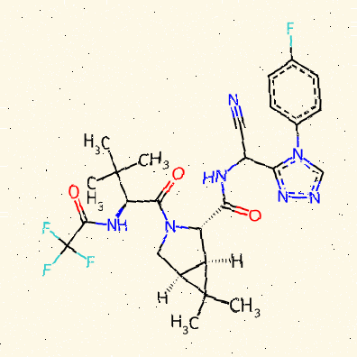 CC(C)(C)[C@H](NC(=O)C(F)(F)F)C(=O)N1C[C@H]2[C@@H]([C@H]1C(=O)NC(C#N)c1nncn1-c1ccc(F)cc1)C2(C)C